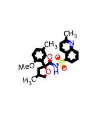 COc1ccc(C)cc1C1(C(=O)NS(=O)(=O)c2cccc3nc(C)ccc23)CC(C)CO1